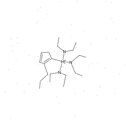 CCCC1=[C]([Hf]([N](CC)CC)([N](CC)CC)[N](CC)CC)CC=C1